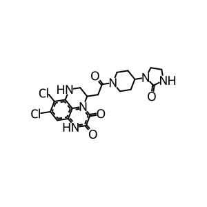 O=C(CC1CNc2c(Cl)c(Cl)cc3[nH]c(=O)c(=O)n1c23)N1CCC(N2CCNC2=O)CC1